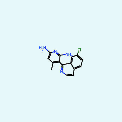 Cc1cc(N)nc(N)c1-c1nccc2ccc(Cl)cc12